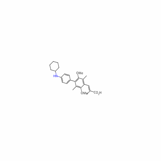 COc1c(C)c(-c2ccc(NC3CCCCC3)cc2)c(OC)c(C)c1/C=C(\C)C(=O)O